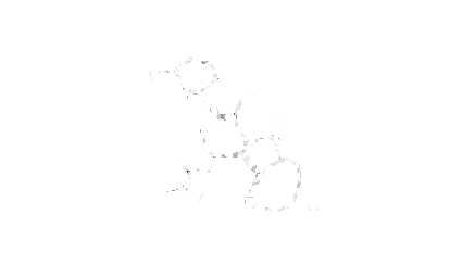 CN(C)C(=O)Cc1nn(-c2cccc(Br)n2)c(=O)c2c1c1ccc(Cl)cc1n2C